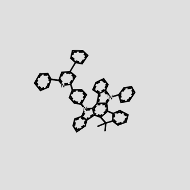 CC1(C)c2ccccc2-c2c1c1c3ccccc3n(-c3ccc(-c4cc(-c5ccccc5)cc(-c5ccccc5)n4)cc3)c1c1c3ccccc3n(-c3ccccc3)c21